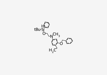 C=Cc1ccc(N(C)CCO[SiH](c2ccccc2)C(C)(C)C)cc1OCc1ccccc1